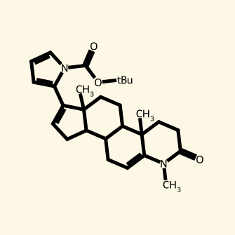 CN1C(=O)CCC2(C)C1=CCC1C3CC=C(c4cccn4C(=O)OC(C)(C)C)C3(C)CCC12